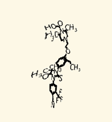 CCc1cc(N2C(=S)N(c3ccc(C#N)c(C(F)(F)F)c3)C(=O)C2(C)C)ccc1OCCN1C[C@@H](C)N(C(=O)O)[C@H](C)C1